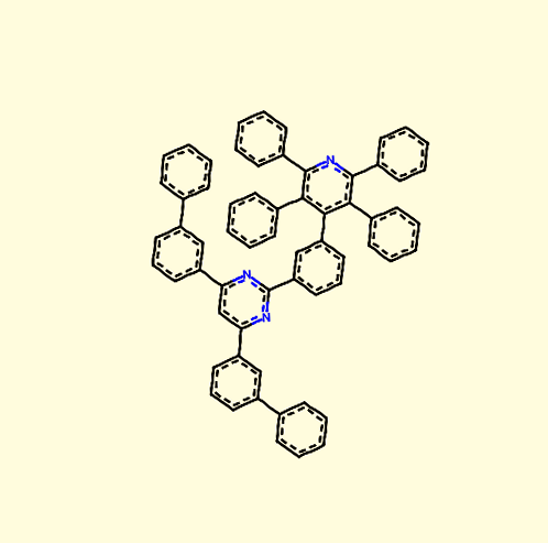 c1ccc(-c2cccc(-c3cc(-c4cccc(-c5ccccc5)c4)nc(-c4cccc(-c5c(-c6ccccc6)c(-c6ccccc6)nc(-c6ccccc6)c5-c5ccccc5)c4)n3)c2)cc1